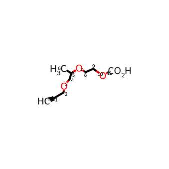 C#CCOCC(C)OCCOC(=O)O